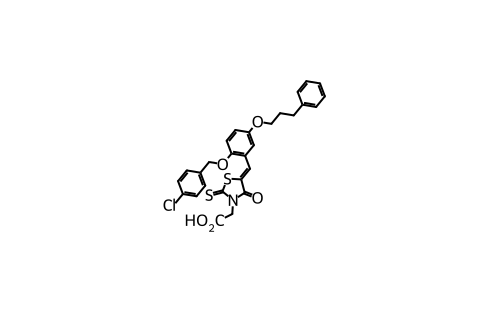 O=C(O)CN1C(=O)C(=Cc2cc(OCCCc3ccccc3)ccc2OCc2ccc(Cl)cc2)SC1=S